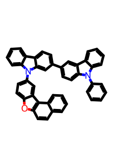 c1ccc(-n2c3ccccc3c3cc(-c4ccc5c6ccccc6n(-c6ccc7oc8ccc9ccccc9c8c7c6)c5c4)ccc32)cc1